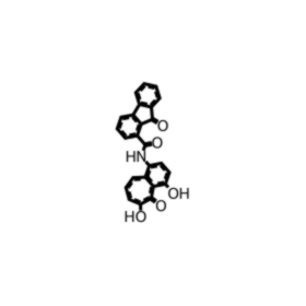 O=C(Nc1ccc(O)c2c(=O)c(O)cccc12)c1cccc2c1C(=O)c1ccccc1-2